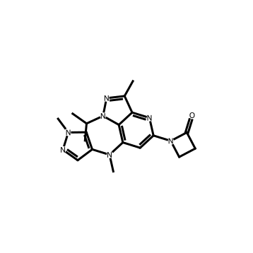 Cc1nn(C(C)C)c2c(N(C)c3cnn(C)c3)cc(N3CCC3=O)nc12